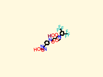 O=C(Nc1ccc(-c2noc(O)n2)cc1)[C@H](O)[C@H]1OCCN(c2cc(C(F)(F)F)cc(C(F)(F)F)c2)C1=O